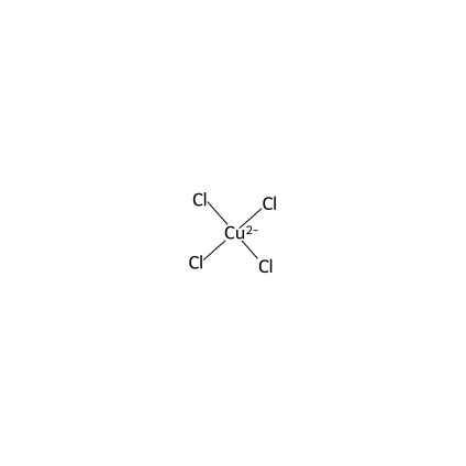 [Cl][Cu-2]([Cl])([Cl])[Cl]